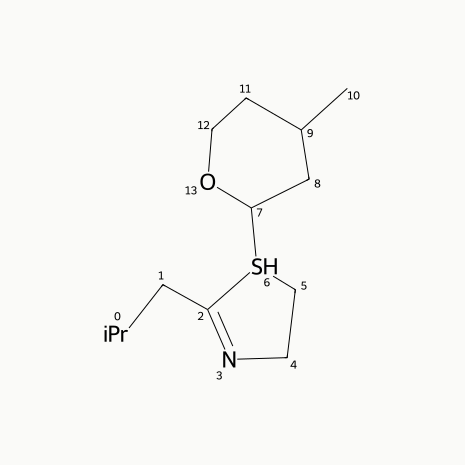 CC(C)CC1=NCC[SH]1C1CC(C)CCO1